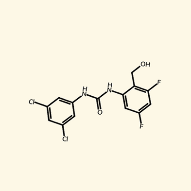 O=C(Nc1cc(Cl)cc(Cl)c1)Nc1cc(F)cc(F)c1CO